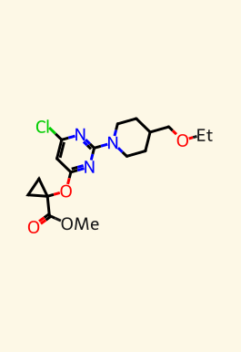 CCOCC1CCN(c2nc(Cl)cc(OC3(C(=O)OC)CC3)n2)CC1